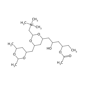 CCC(CC(O)CC1CC(CC2CC(C)OC(C)O2)OC(C[N+](C)(C)C)O1)OC(C)=O